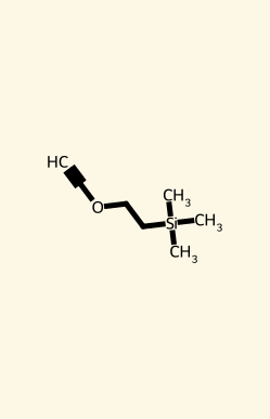 C#COCC[Si](C)(C)C